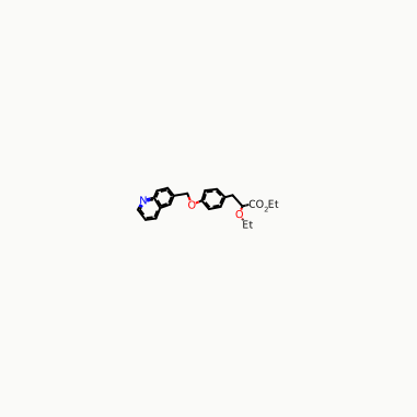 CCOC(=O)C(Cc1ccc(OCc2ccc3ncccc3c2)cc1)OCC